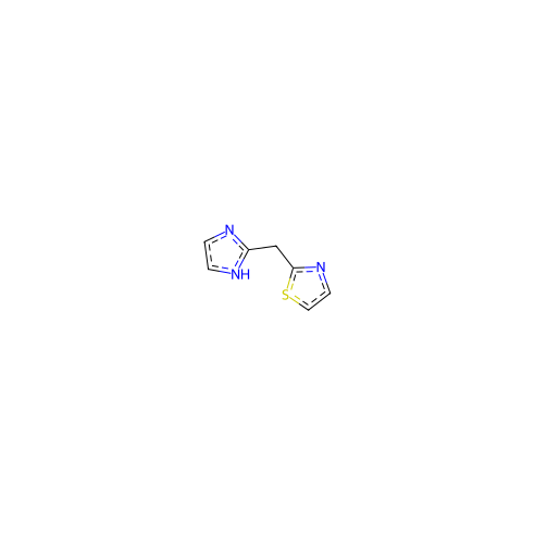 c1c[nH]c(Cc2nccs2)n1